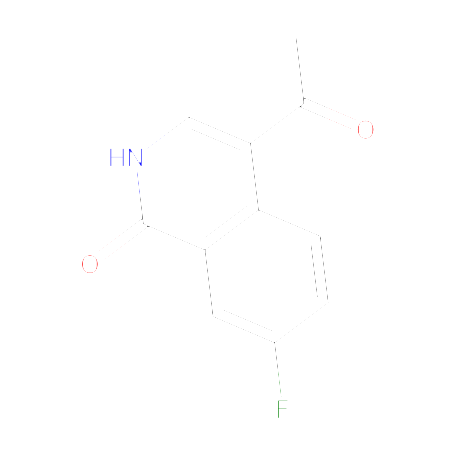 CC(=O)c1c[nH]c(=O)c2cc(F)ccc12